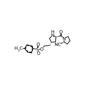 Cc1ccc(S(=O)(=O)OCC[C@@H]2CN[C@@H](C(=O)N3CCC[C@H]3C#N)C2)cc1